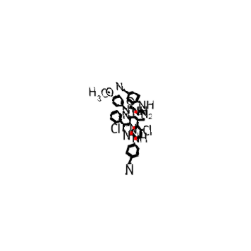 COc1ccc(N(N=C(c2nc(Nc3ccc(C#N)cc3)ncc2-c2ccccc2Cl)c2nc(Nc3ccc(C#N)cc3)ncc2-c2ccccc2Cl)C(N)=O)cc1